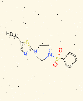 O=C(O)c1cnc(N2CCN(S(=O)(=O)c3ccccc3)CC2)s1